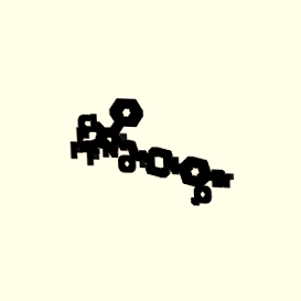 COc1cc(N2CCN(C(=O)Cn3nc(C(F)(F)F)c(Cl)c3-c3ccccc3)CC2)ccc1Br